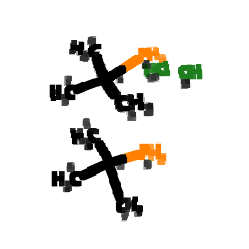 CC(C)(C)P.CC(C)(C)P.Cl.Cl